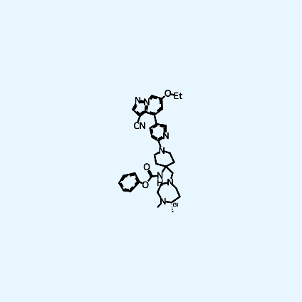 CCOc1cc(-c2ccc(N3CCC(CN4CC[C@H](C)N(C)CC4)(NC(=O)Oc4ccccc4)CC3)nc2)c2c(C#N)cnn2c1